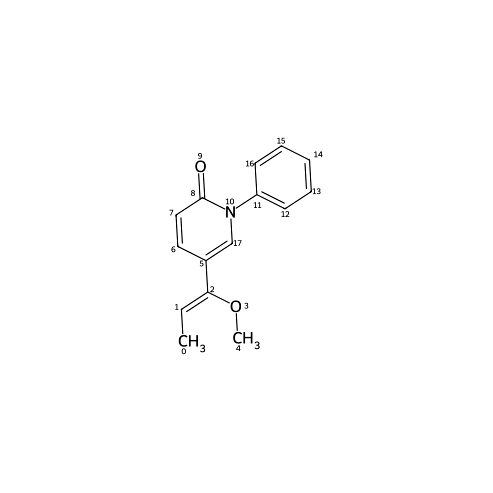 CC=C(OC)c1ccc(=O)n(-c2ccccc2)c1